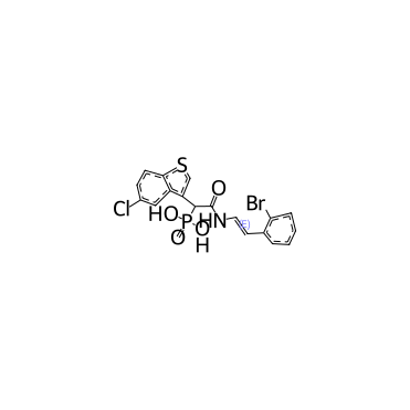 O=C(N/C=C/c1ccccc1Br)C(c1csc2ccc(Cl)cc12)P(=O)(O)O